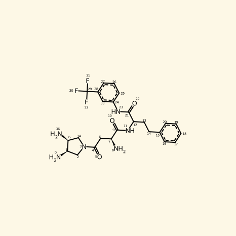 N[C@@H]1CN(C(=O)C[C@H](N)C(=O)NC(CCc2ccccc2)C(=O)Nc2cccc(C(F)(F)F)c2)C[C@@H]1N